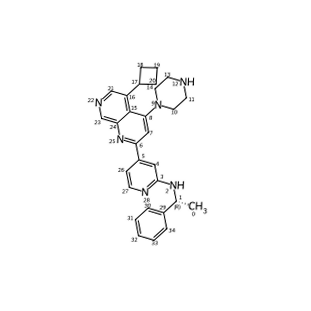 C[C@@H](Nc1cc(-c2cc(N3CCNCC3)c3c(C4CCC4)cncc3n2)ccn1)c1ccccc1